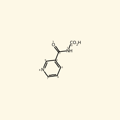 O=C(O)NC(=O)c1cccnc1